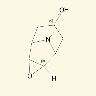 CN1C2C[C@H](O)CC1[C@H]1OC21